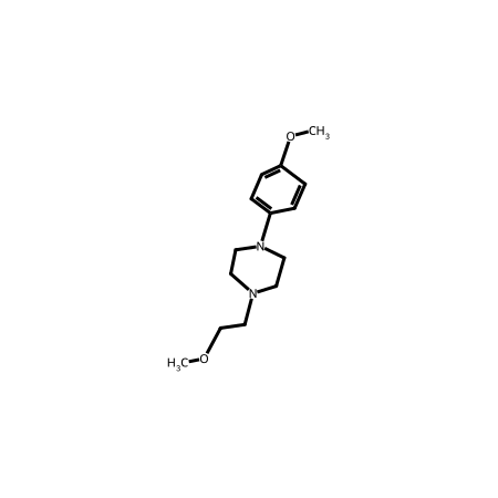 COCCN1CCN(c2ccc(OC)cc2)CC1